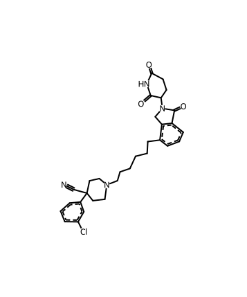 N#CC1(c2cccc(Cl)c2)CCN(CCCCCCc2cccc3c2CN(C2CCC(=O)NC2=O)C3=O)CC1